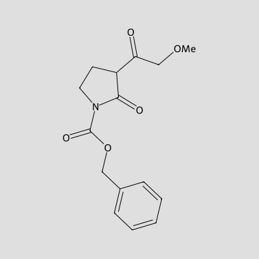 COCC(=O)C1CCN(C(=O)OCc2ccccc2)C1=O